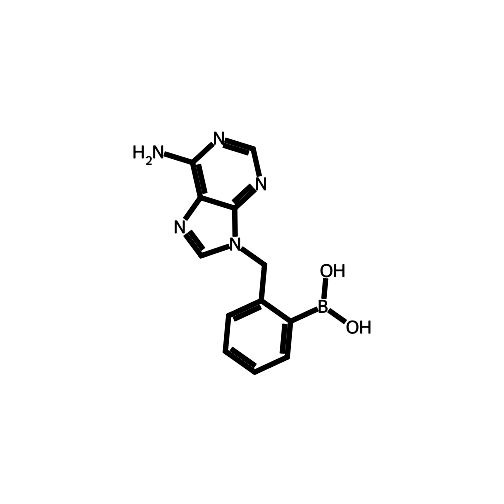 Nc1ncnc2c1ncn2Cc1ccccc1B(O)O